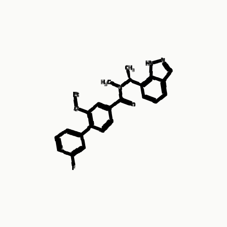 CCOc1cc(C(=O)N(C)[C@@H](C)c2cccc3cn[nH]c23)ccc1-c1cccc(F)c1